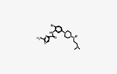 CN(C)CC[S+]([O-])N1CCN(c2ccc(Br)c(NC(=O)c3coc(N)n3)c2)CC1